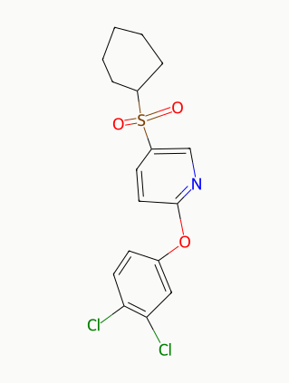 O=S(=O)(c1ccc(Oc2ccc(Cl)c(Cl)c2)nc1)C1CCCCC1